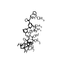 CCN1CCC[C@@H]1CNC(=O)c1cc(-c2cccc(CN3C[C@H](O)[C@@H]([C@H](C)O)C3C(=O)NC3C[C@H]4C[C@@H]([C@@H]3C)C4(C)C)c2OC)cc(N(C)C)c1